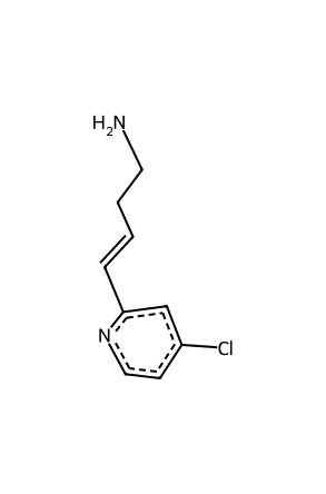 NCCC=Cc1cc(Cl)ccn1